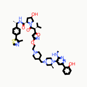 CNc1nnc(-c2ccccc2O)cc1N1CCN(CC2CCN(CCOc3cc([C@H](C(=O)N4C[C@H](O)C[C@H]4C(=O)N[C@@H](C)c4ccc(-c5scnc5C)cc4)C(C)C)on3)CC2)C[C@@H]1C